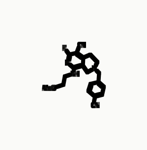 COCCNc1nc(F)c(C#N)c2c1CN(Cc1ccc(C#N)cc1)CC2